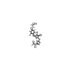 CC(=O)Nc1ncc(C=C2SC(=Nc3ccc(OCCO)cc3C)NC2=O)s1